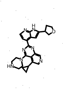 c1cc(-c2nc(N3CCNCC3)c3c(C4CC4)cncc3n2)c2cc(C3CCOC3)[nH]c2n1